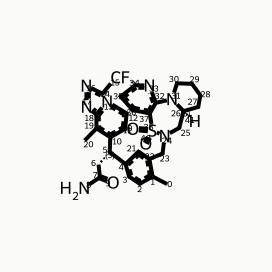 Cc1ccc([C@H](CC(N)=O)c2ccn3c(C(F)(F)F)nnc3c2C)cc1CN1C[C@@H]2CCCCN2c2ncccc2S1(=O)=O